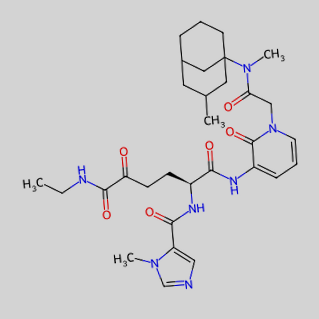 CCNC(=O)C(=O)CC[C@H](NC(=O)c1cncn1C)C(=O)Nc1cccn(CC(=O)N(C)C23CCCC(CC(C)C2)C3)c1=O